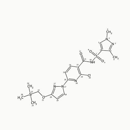 Cc1nn(C)cc1S(=O)(=O)NC(=O)c1ccc(-n2ccc(OC[Si](C)(C)C)n2)nc1Cl